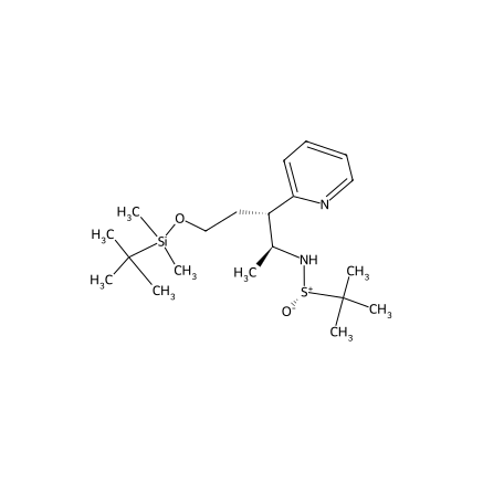 C[C@H](N[S@@+]([O-])C(C)(C)C)[C@H](CCO[Si](C)(C)C(C)(C)C)c1ccccn1